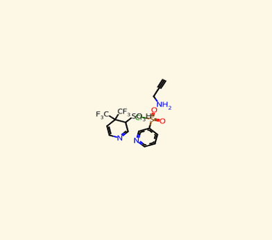 C#CCN.O=S(=O)(Cl)c1cccnc1.O=S(=O)(O)C1C=NC=CC1(C(F)(F)F)C(F)(F)F